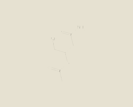 CC(=O)OC(CN)CC(N)=O